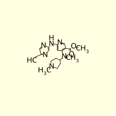 C#Cc1cnc(Nc2cc(N(C)C3CCN(C)CC3)c(C(=O)OC)cn2)cn1